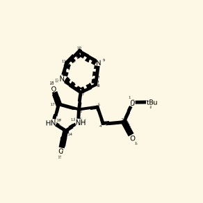 CC(C)(C)OC(=O)CCC1(c2cnccn2)NC(=O)NC1=O